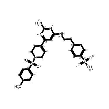 Cc1ccc(S(=O)(=O)N2CC=C(c3cc(NCCc4ccc(S(C)(=O)=O)cc4)nc(N)n3)CC2)cc1